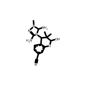 CN1N=C(N)N(C2c3ccc(C#N)cc3OC(O)C2(C)C)C1N